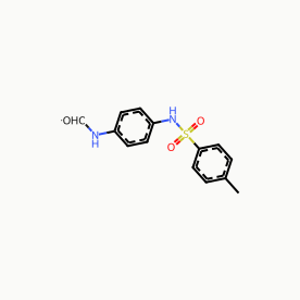 Cc1ccc(S(=O)(=O)Nc2ccc(N[C]=O)cc2)cc1